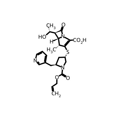 C=CCOC(=O)N1C[C@@H](SC2=C(C(=O)O)N3C(=O)[C@H]([C@@H](C)O)[C@H]3[C@H]2C)C[C@@H]1Cc1cccnc1